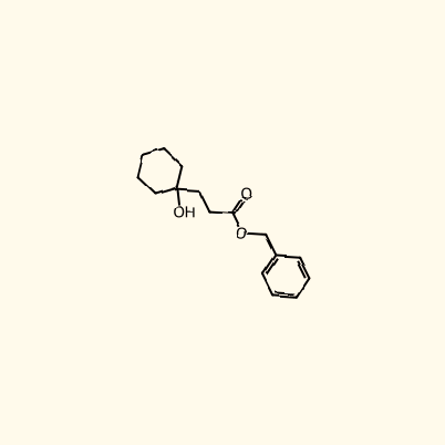 O=C(CCC1(O)CCCCC1)OCc1ccccc1